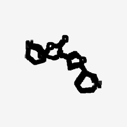 O=C1O[C@]2(CN3CCC2CC3)CN1c1coc(-c2cccnc2)c1